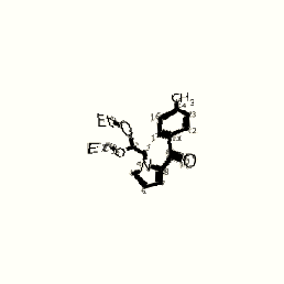 CCOC(Cn1cccc1C(=O)c1ccc(C)cc1)OCC